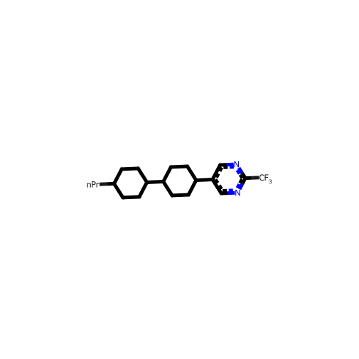 CCCC1CCC(C2CCC(c3cnc(C(F)(F)F)nc3)CC2)CC1